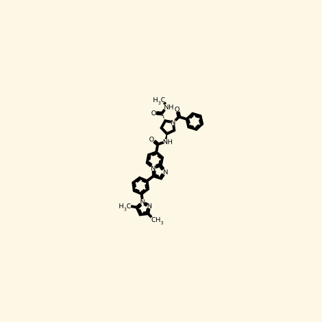 CNC(=O)[C@H]1C[C@H](NC(=O)c2ccn3c(-c4cccc(-n5nc(C)cc5C)c4)cnc3c2)CN1C(=O)c1ccccc1